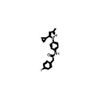 Cc1cc(C2CC2)n(-c2ccc(NC(=O)Cc3ccc(F)cc3)cc2)n1